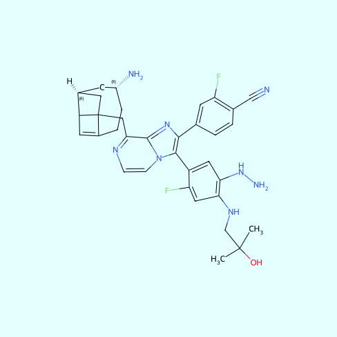 CC(C)(O)CNc1cc(F)c(-c2c(-c3ccc(C#N)c(F)c3)nc3c(CC45C[C@@H]6C[C@H](N)CCC4=CC65)nccn23)cc1NN